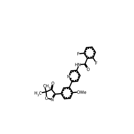 COc1ccc(C2=NOC(C)(C)C2=O)cc1-c1ccc(NC(=O)c2c(F)cccc2F)cn1